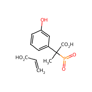 C=CC(=O)O.CC(C(=O)O)(c1cccc(O)c1)P(=O)=O